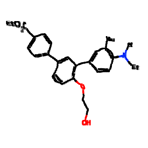 CCOC(=O)c1ccc(-c2ccc(OCCO)c(-c3ccc(N(CC)CC)c(C(C)(C)C)c3)c2)cc1